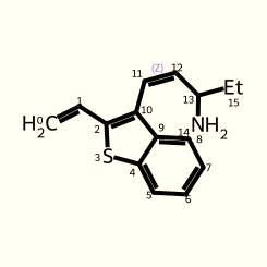 C=Cc1sc2ccccc2c1/C=C\C(N)CC